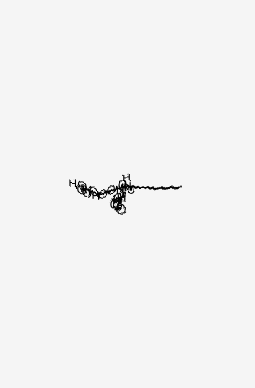 CCCCCCCCCCCCCCCC(=O)N[C@@H](CSC[C@@H](COC(C)=O)OC(C)=O)C(=O)NCCOCCOCCOCCP(=O)(O)O